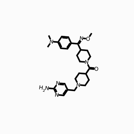 CON=C(c1ccc(N(C)C)cc1)C1CCN(C(=O)C2CCN(Cc3cnc(N)nc3)CC2)CC1